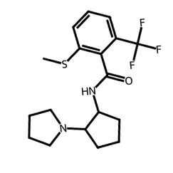 CSc1cccc(C(F)(F)F)c1C(=O)NC1CCCC1N1CCCC1